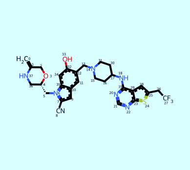 C=C1CO[C@H](Cn2c(C#N)cc3cc(CN4CCC(Nc5ncnc6sc(CC(F)(F)F)cc56)CC4)c(O)cc32)CN1